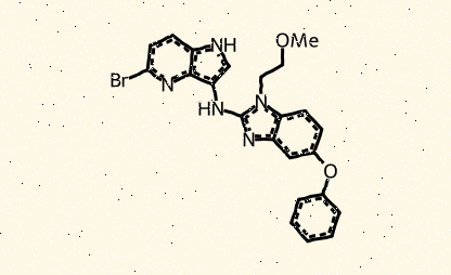 COCCn1c(Nc2c[nH]c3ccc(Br)nc23)nc2cc(Oc3ccccc3)ccc21